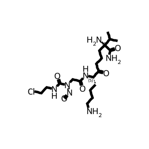 CC(C)[C@@](N)(CCCC(=O)[C@H](CCCCN)NC(=O)CN(N=O)C(=O)NCCCl)C(N)=O